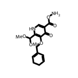 COC(OC)c1[nH]cc(C(=O)ON)c(=O)c1OCC1=CCCC=C1